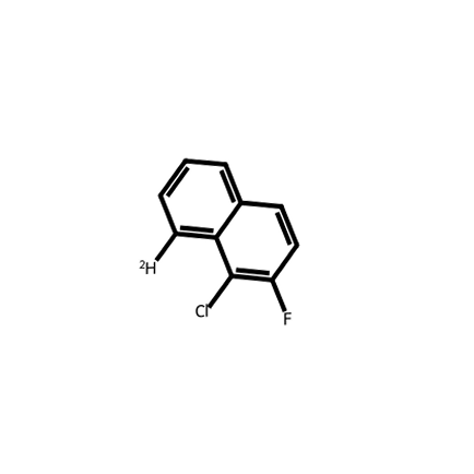 [2H]c1cccc2ccc(F)c(Cl)c12